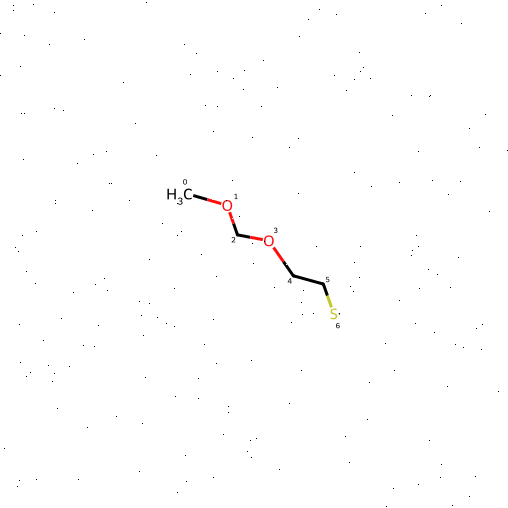 COCOCC[S]